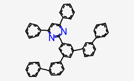 c1ccc(-c2cccc(-c3cc(-c4cccc(-c5ccccc5)c4)cc(-c4nc(-c5ccccc5)cc(-c5ccccc5)n4)c3)c2)cc1